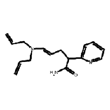 C=CCN(C=CCC(C(N)=O)c1ccccn1)CC=C